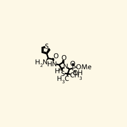 COP(=O)(O)C1N2C(=O)C(NC(=O)C(N)c3ccsc3)[C@@H]2SC1(C)C